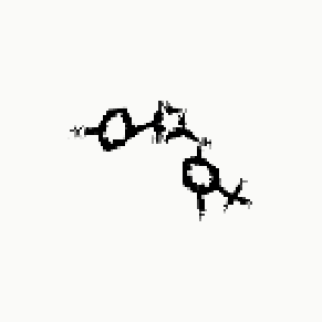 Oc1ccc(-c2nnc(Nc3ccc(F)c(C(F)(F)F)c3)[nH]2)cc1